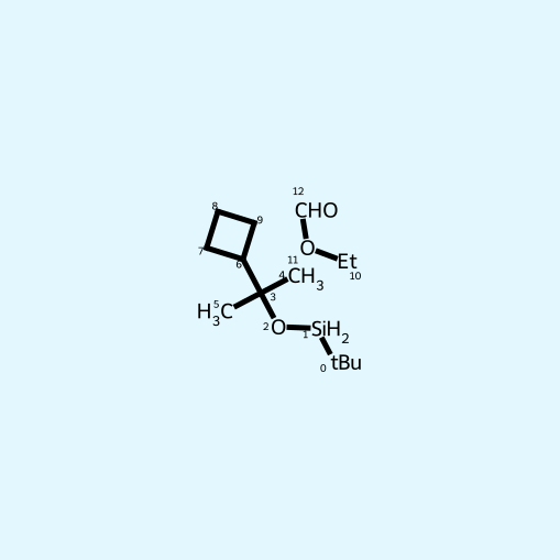 CC(C)(C)[SiH2]OC(C)(C)C1CCC1.CCOC=O